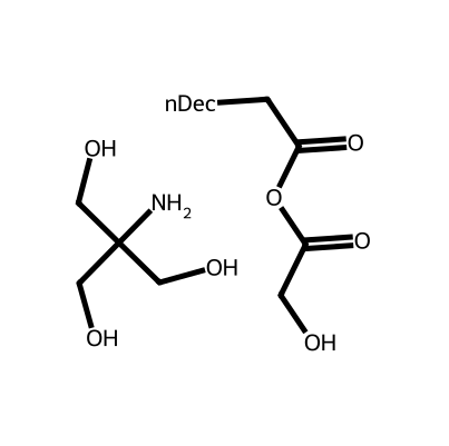 CCCCCCCCCCCC(=O)OC(=O)CO.NC(CO)(CO)CO